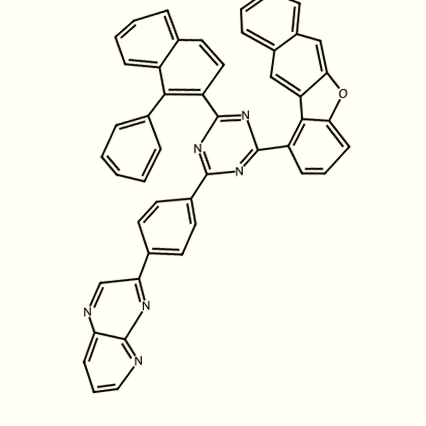 c1ccc(-c2c(-c3nc(-c4ccc(-c5cnc6cccnc6n5)cc4)nc(-c4cccc5oc6cc7ccccc7cc6c45)n3)ccc3ccccc23)cc1